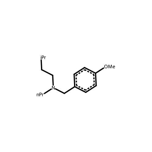 CCCN(CCC(C)C)Cc1ccc(OC)cc1